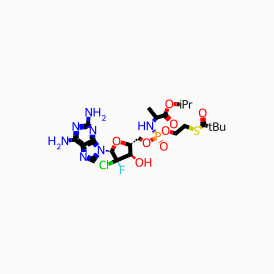 CC(C)OC(=O)C(C)NP(=O)(OCCSC(=O)C(C)(C)C)OC[C@H]1O[C@@H](n2cnc3c(N)nc(N)nc32)[C@](F)(Cl)[C@@H]1O